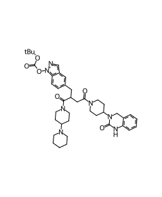 CC(C)(C)OC(=O)On1ncc2cc(CC(CC(=O)N3CCC(N4Cc5ccccc5NC4=O)CC3)C(=O)N3CCC(N4CCCCC4)CC3)ccc21